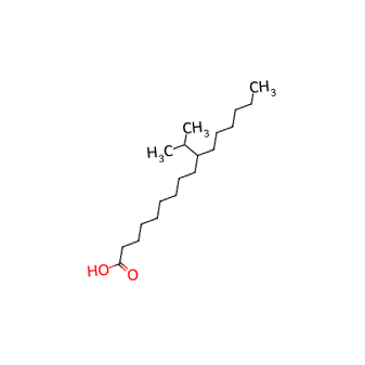 CCCCCCC(CCCCCCCCC(=O)O)C(C)C